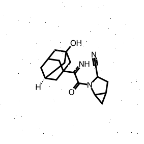 N#CC1CC2CC2N1C(=O)C(=N)C12CC3C[C@@H](CC(O)(C3)C1)C2